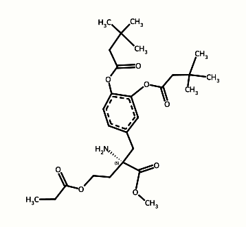 CCC(=O)OCC[C@@](N)(Cc1ccc(OC(=O)CC(C)(C)C)c(OC(=O)CC(C)(C)C)c1)C(=O)OC